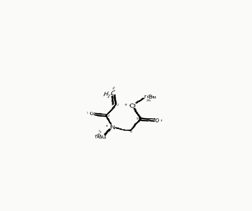 C=CC(=O)N(CCCC)CC(=O)OCCCC